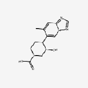 Cc1cc2ncnn2cc1C1CCN(C(=O)O)C[C@@H]1O